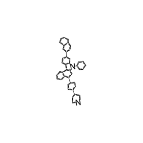 c1ccc(-n2c3cc(-c4ccc5ccccc5c4)ccc3c3c4ccccc4c(-c4ccc(-c5ccncc5)cc4)cc32)cc1